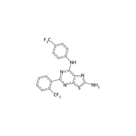 Nc1nc2c(Nc3ccc(C(F)(F)F)cc3)nc(-c3ccccc3C(F)(F)F)nc2s1